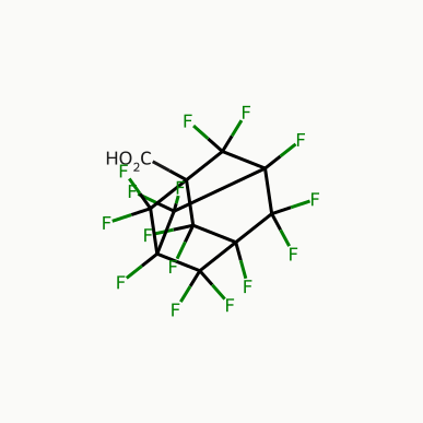 O=C(O)C12C(F)(F)C3(F)C(F)(F)C(F)(C(F)(F)C(F)(C3(F)F)C1(F)F)C2(F)F